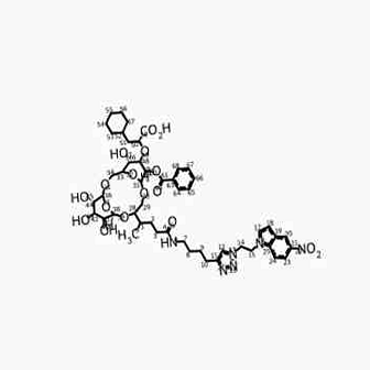 CC(CCC(=O)NCCCCc1cn(CCn2ccc3cc([N+](=O)[O-])ccc32)nn1)C1CO[C@@H]2OC(COC3O[C@@H](O1)C(O)C(O)[C@@H]3O)[C@H](O)C(O[C@@H](CC1CCCCC1)C(=O)O)C2OC(=O)c1ccccc1